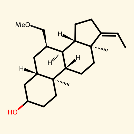 C/C=C1/CC[C@H]2[C@@H]3[C@H](COC)C[C@H]4CC(O)CC[C@]4(C)[C@H]3CC[C@]12C